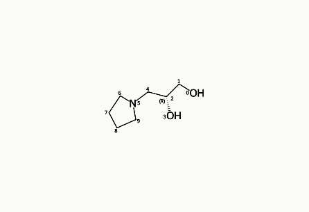 OC[C@H](O)CN1CCCC1